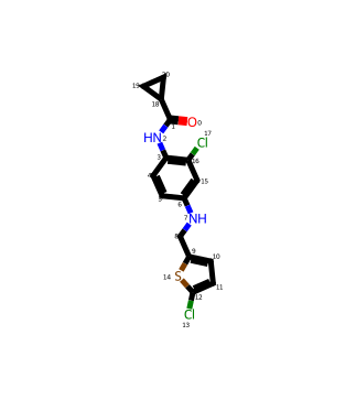 O=C(Nc1ccc(NCc2ccc(Cl)s2)cc1Cl)C1CC1